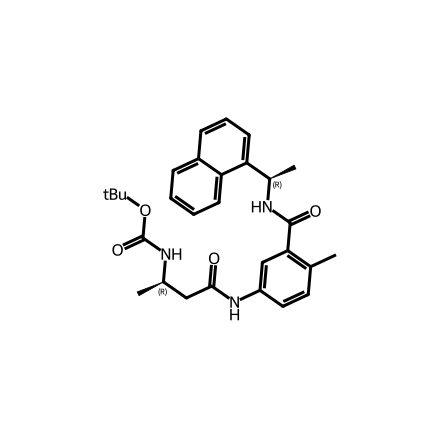 Cc1ccc(NC(=O)C[C@@H](C)NC(=O)OC(C)(C)C)cc1C(=O)N[C@H](C)c1cccc2ccccc12